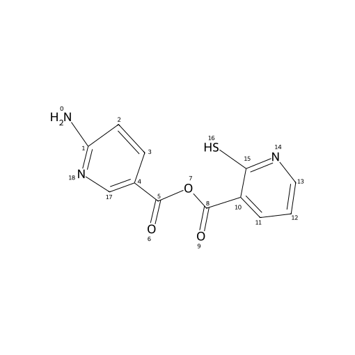 Nc1ccc(C(=O)OC(=O)c2cccnc2S)cn1